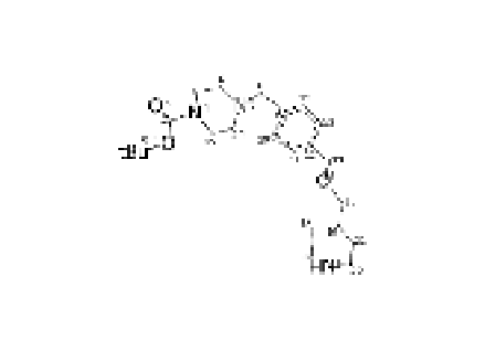 CC(C)(C)OC(=O)N1CCN(Cc2ccc(COCC3CCNCC3)cc2)CC1